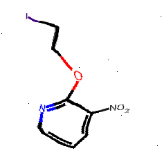 O=[N+]([O-])c1cccnc1OCCI